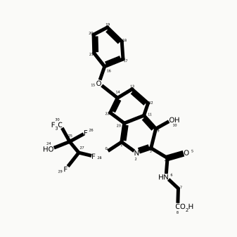 Cc1nc(C(=O)NCC(=O)O)c(O)c2ccc(Oc3ccccc3)cc12.OC(F)(C(F)F)C(F)(F)F